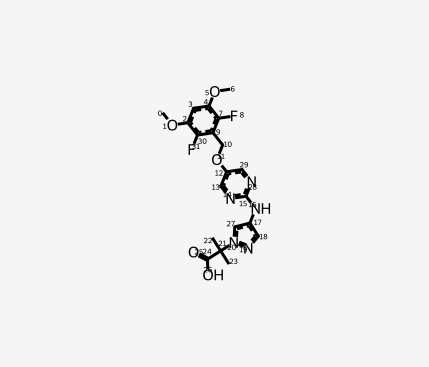 COc1cc(OC)c(F)c(COc2cnc(Nc3cnn(C(C)(C)C(=O)O)c3)nc2)c1F